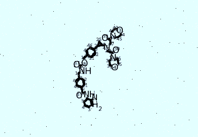 Nc1ccccc1NC(=O)c1ccc(CNC(=O)OCc2ccc(C3CC3N(CC(=O)N3CCOCC3)CC(=O)N3CCOCC3)cc2)cc1